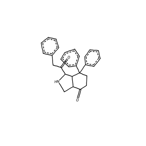 O=C1CCC(c2ccccc2)(c2ccccc2)C2C1CNC2C(=O)Cc1ccccc1